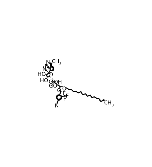 CCCCCCCCCCCCCCCCCCOC[C@H](COP(=O)(O)OC[C@H]1O[C@@](C#N)(c2ccc3c(C)ncnn23)[C@H](O)[C@@H]1O)OCc1ccc(C#N)cc1C(F)(F)F